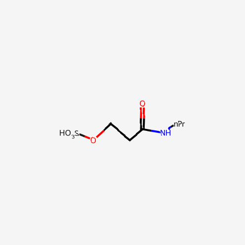 CCCNC(=O)CCOS(=O)(=O)O